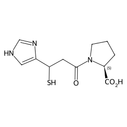 O=C(O)[C@@H]1CCCN1C(=O)CC(S)c1c[nH]cn1